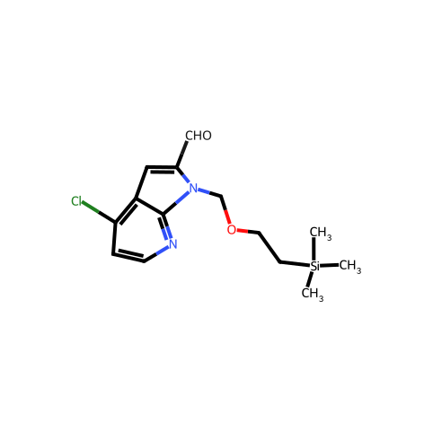 C[Si](C)(C)CCOCn1c(C=O)cc2c(Cl)ccnc21